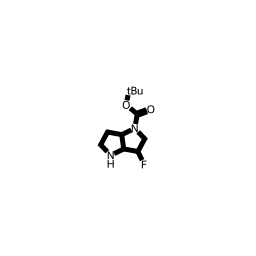 CC(C)(C)OC(=O)N1CC(F)C2NCCC21